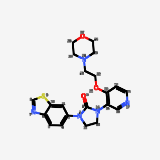 O=C1N(c2ccc3ncsc3c2)CCN1c1cnccc1OCCN1CCOCC1